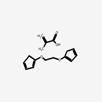 C1=CCC(OCCOC2=CC=CC2)=C1.C=C(C)C(=O)O